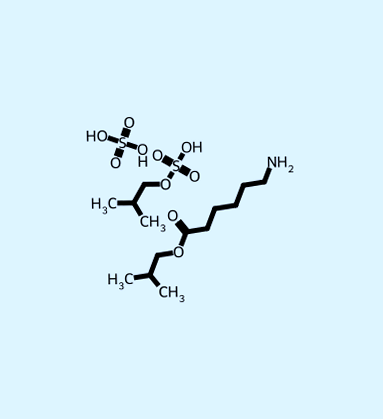 CC(C)COC(=O)CCCCCN.CC(C)COS(=O)(=O)O.O=S(=O)(O)O